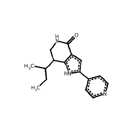 CCC(C)C1CNC(=O)c2cc(-c3ccncc3)[nH]c21